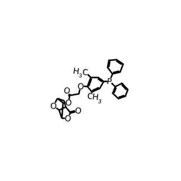 Cc1cc(P(c2ccccc2)c2ccccc2)cc(C)c1OCC(=O)OC1C2CC3C(=O)OC1C3O2